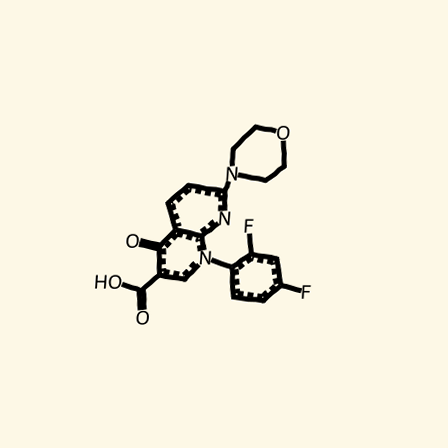 O=C(O)c1cn(-c2ccc(F)cc2F)c2nc(N3CCOCC3)ccc2c1=O